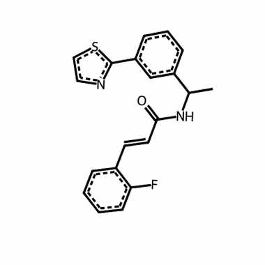 CC(NC(=O)/C=C/c1ccccc1F)c1cccc(-c2nccs2)c1